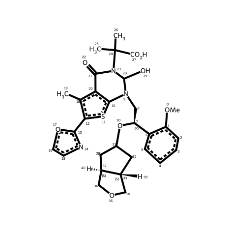 COc1ccccc1[C@H](CN1c2sc(-c3ncco3)c(C)c2C(=O)N(C(C)(C)C(=O)O)C1O)OC1C[C@@H]2COC[C@H]2C1